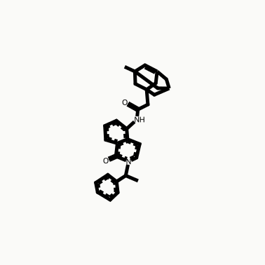 CC(c1ccccc1)n1ccc2c(NC(=O)CC34CC5=CC(C)(CC(C5)C3)C4)cccc2c1=O